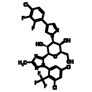 Cc1nc([C@@H]2O[C@H](CO)[C@H](O)[C@H](n3cc(-c4ccc(Cl)c(F)c4F)cn3)[C@H]2O)n(-c2cc(Cl)cc(Cl)c2C(F)(F)F)n1